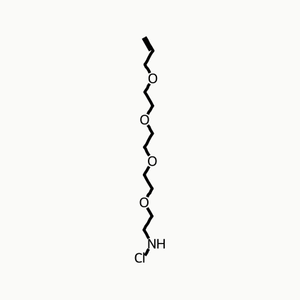 C=CCOCCOCCOCCOCCNCl